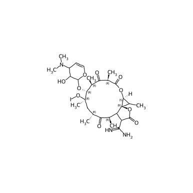 CC1[C@@H]2OC(=O)[C@H](C)C(=O)[C@H](C)[C@@H](OC3OC=CC(N(C)C)C3O)[C@](C)(OI)C[C@@H](C)C(=O)[C@H](C)C3C(C(=N)N)C(=O)O[C@]312